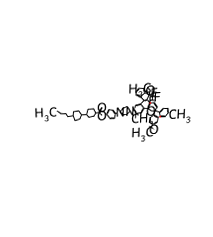 CCCCCC1CCC(C2CCC(C(=O)Oc3ccc(N4CCN(c5cc6c7c(c8c(c6cc5C)OC(c5ccc(C)cc5)(c5ccc(OC)cc5)C=C8)C(OC)(C(F)(F)F)c5ccccc5-7)CC4)cc3)CC2)CC1